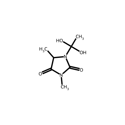 CC1C(=O)N(C)C(=O)N1C(C)(O)O